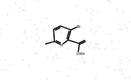 C=C(OC)c1nc(C)ccc1Br